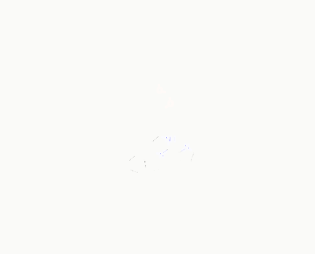 CCOC(=O)C1=C(CCCOC2CCCCO2)NC(c2nccs2)=NC1c1ccc(F)cc1Cl